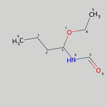 CCCC(NC=O)OCC